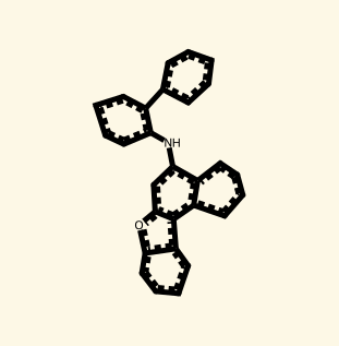 c1ccc(-c2ccccc2Nc2cc3oc4ccccc4c3c3ccccc23)cc1